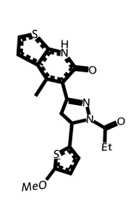 CCC(=O)N1N=C(c2c(C)c3ccsc3[nH]c2=O)CC1c1ccc(OC)s1